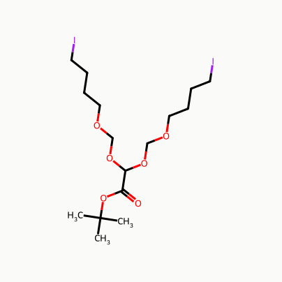 CC(C)(C)OC(=O)C(OCOCCCCI)OCOCCCCI